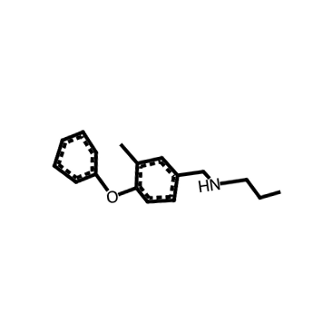 CCCNCc1ccc(Oc2ccccc2)c(C)c1